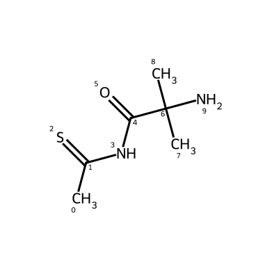 CC(=S)NC(=O)C(C)(C)N